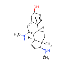 CNC1=C2[C@@H]3C=C[C@H](NC)[C@@]3(C)CC[C@@H]2[C@@]2(C)C=C[C@H](O)CC2=C1